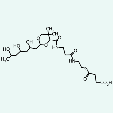 CC(O)CC(O)CC(O)CC1OCC(C)(C)[C@H](C(=O)NCCC(=O)NCCSC(=O)CCC(=O)O)O1